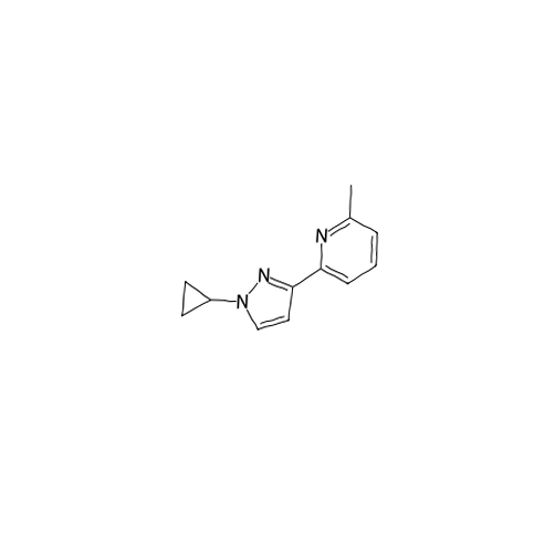 Cc1cccc(-c2ccn(C3CC3)n2)n1